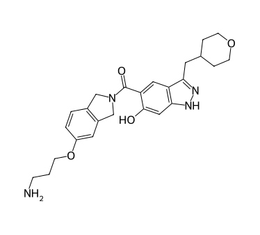 NCCCOc1ccc2c(c1)CN(C(=O)c1cc3c(CC4CCOCC4)n[nH]c3cc1O)C2